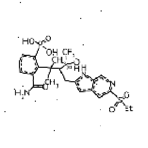 CCS(=O)(=O)c1cc2cc(CC([C@@H](O)C(F)(F)F)C(C)(C)c3c(C(N)=O)cccc3P(=O)(O)O)[nH]c2cn1